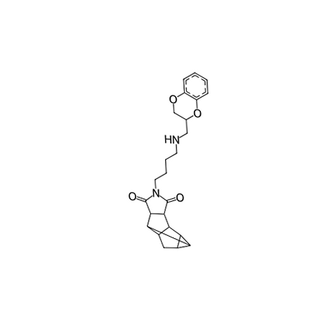 O=C1C2C(C(=O)N1CCCCNCC1COc3ccccc3O1)C1C3CC4C(C32)C41